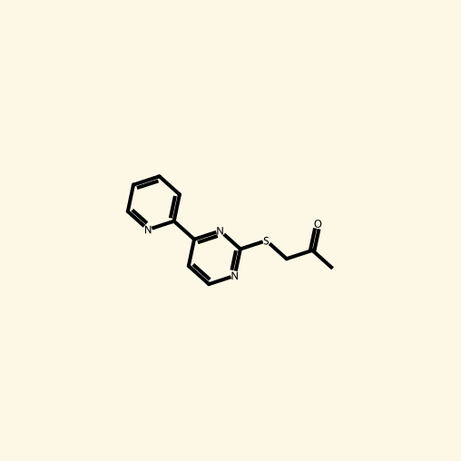 CC(=O)CSc1nccc(-c2ccccn2)n1